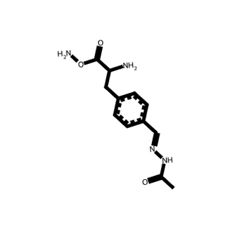 CC(=O)N/N=C/c1ccc(CC(N)C(=O)ON)cc1